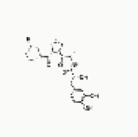 C[C@H](NC(=O)[C@H](O)Cc1ccc(O)c(O)c1)C(=O)N1CSC[C@H]1C(=O)N1CCCC(F)C1